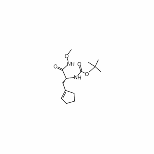 CONC(=O)[C@H](CC1=CCCC1)NC(=O)OC(C)(C)C